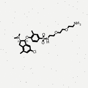 Cc1cc(S(=O)(=O)NCCOCCOCCN)ccc1O[C@H]1c2cc(Cl)cc(C)c2C[C@@H]1N(C)C